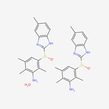 Cc1ccc2[nH]c([S+]([O-])c3cc(C)c(C)c(N)c3C)nc2c1.Cc1ccc2[nH]c([S+]([O-])c3cc(C)c(C)c(N)c3C)nc2c1.O